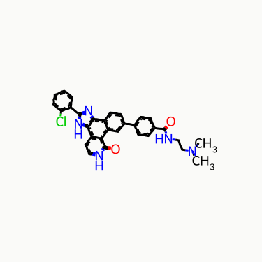 CN(C)CCNC(=O)c1ccc(-c2ccc3c(c2)c2c(=O)[nH]ccc2c2[nH]c(-c4ccccc4Cl)nc32)cc1